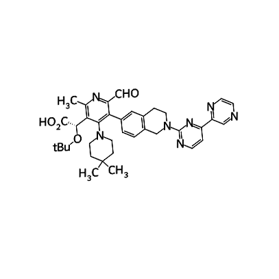 Cc1nc(C=O)c(-c2ccc3c(c2)CCN(c2nccc(-c4cnccn4)n2)C3)c(N2CCC(C)(C)CC2)c1[C@H](OC(C)(C)C)C(=O)O